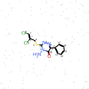 Nn1c(SC/C(Cl)=C/Cl)nnc(-c2ccccc2)c1=O